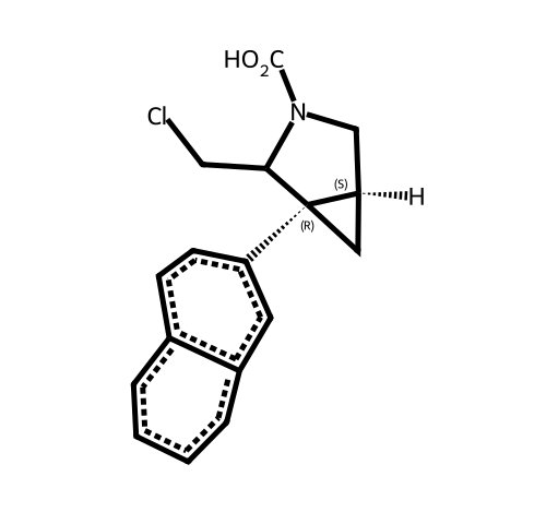 O=C(O)N1C[C@H]2C[C@@]2(c2ccc3ccccc3c2)C1CCl